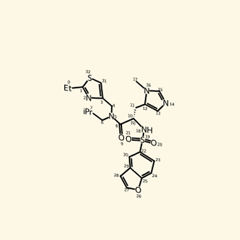 CCc1nc(CN(CC(C)C)C(=O)[C@H](Cc2cncn2C)NS(=O)(=O)c2ccc3occc3c2)cs1